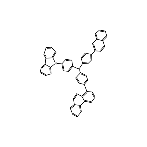 c1ccc2cc(-c3ccc(N(c4ccc(-c5cccc6c5ccc5ccccc56)cc4)c4ccc(-n5c6ccccc6c6ccccc65)cc4)cc3)ccc2c1